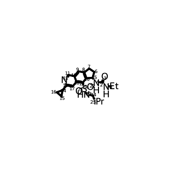 CCNC(=O)NC1CCc2cc3cnc(C4CC4)cc3c(S(=O)(=O)NCC(C)C)c21